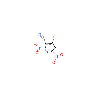 N#Cc1c(Cl)cc([N+](=O)[O-])cc1[N+](=O)[O-]